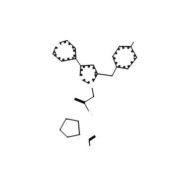 NC(=O)[C@@H]1CCC[C@@H]1NC(=O)Cn1nc(-c2ccncc2)cc1Cc1ccc(F)cc1